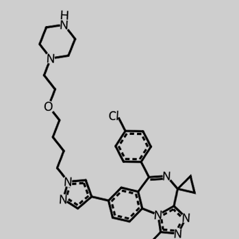 Cc1nnc2n1-c1ccc(-c3cnn(CCCCOCCN4CCNCC4)c3)cc1C(c1ccc(Cl)cc1)=NC21CC1